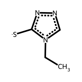 CCn1cnnc1[S]